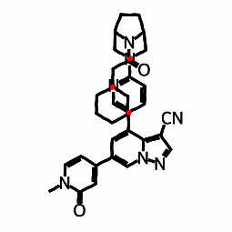 Cn1ccc(-c2cc(-c3ccc(N4CC5CCC(C4)N5C(=O)CC4CCCCC4)nc3)c3c(C#N)cnn3c2)cc1=O